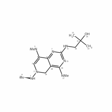 CC[C@H](C)NN1C=C(NC)c2nc(NCC(C)(C)O)nc(NC)c2C1